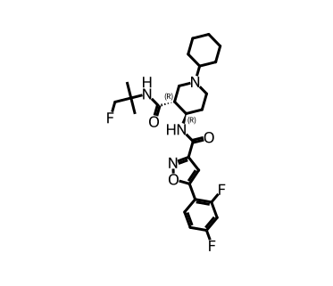 CC(C)(CF)NC(=O)[C@@H]1CN(C2CCCCC2)CC[C@H]1NC(=O)c1cc(-c2ccc(F)cc2F)on1